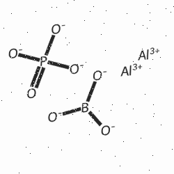 O=P([O-])([O-])[O-].[Al+3].[Al+3].[O-]B([O-])[O-]